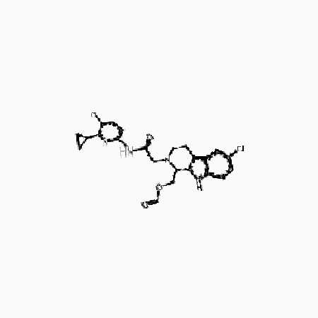 O=COCC1c2[nH]c3ccc(Cl)cc3c2CCN1CC(=O)Nc1ccc(Cl)c(C2CC2)n1